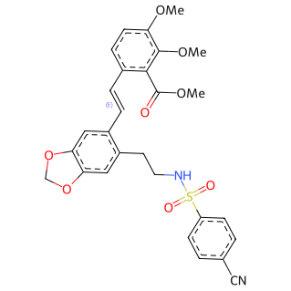 COC(=O)c1c(/C=C/c2cc3c(cc2CCNS(=O)(=O)c2ccc(C#N)cc2)OCO3)ccc(OC)c1OC